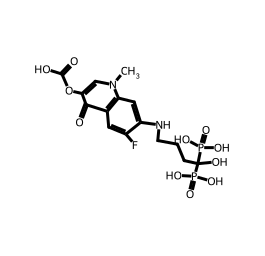 Cn1cc(OC(=O)O)c(=O)c2cc(F)c(NCCCC(O)(P(=O)(O)O)P(=O)(O)O)cc21